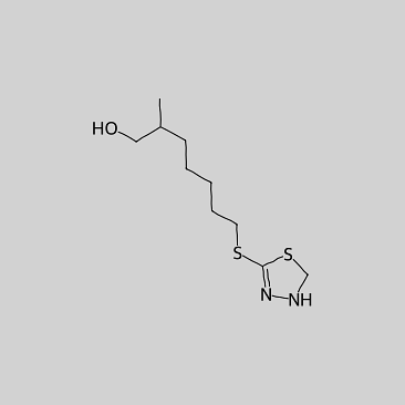 CC(CO)CCCCCSC1=NNCS1